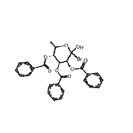 C[C@H]1OC(O)(Br)[C@@H](OC(=O)c2ccccc2)[C@@H](OC(=O)c2ccccc2)[C@@H]1OC(=O)c1ccccc1